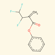 C=C(C(=O)Oc1ccccc1)C(F)C(F)F